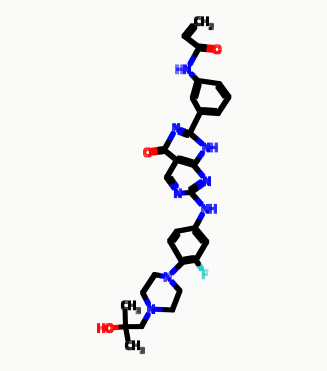 C=CC(=O)Nc1cccc(-c2nc(=O)c3cnc(Nc4ccc(N5CCN(CC(C)(C)O)CC5)c(F)c4)nc3[nH]2)c1